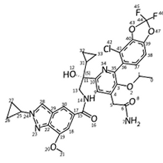 CCOc1c(CC(N)=O)cc([C@@](O)(CNC(=O)c2cc(OC)c3nn(C4CC4)cc3c2)C2CC2)nc1-c1ccc2c(c1Cl)OC(F)(F)O2